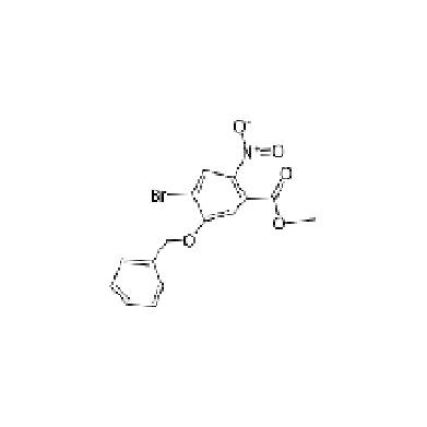 COC(=O)c1cc(OCc2ccccc2)c(Br)cc1[N+](=O)[O-]